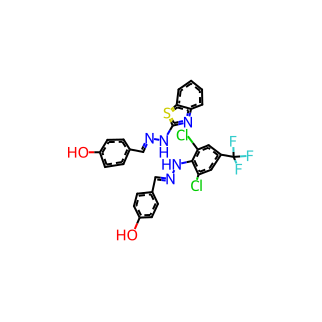 Oc1ccc(/C=N/Nc2c(Cl)cc(C(F)(F)F)cc2Cl)cc1.Oc1ccc(/C=N/Nc2nc3ccccc3s2)cc1